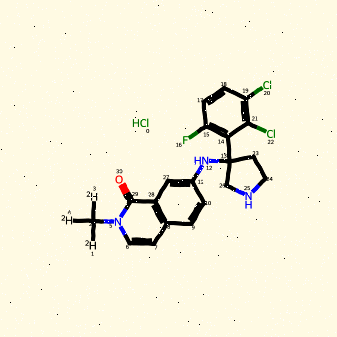 Cl.[2H]C([2H])([2H])n1ccc2ccc(NC3(c4c(F)ccc(Cl)c4Cl)CCNC3)cc2c1=O